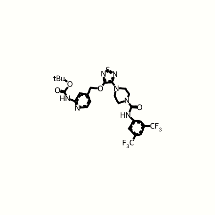 CC(C)(C)OC(=O)Nc1cc(COc2nsnc2N2CCN(C(=O)Nc3cc(C(F)(F)F)cc(C(F)(F)F)c3)CC2)ccn1